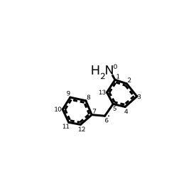 Nc1cccc([CH]c2ccccc2)c1